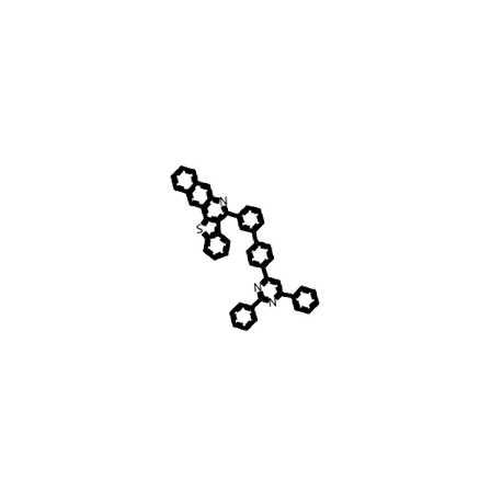 c1ccc(-c2cc(-c3ccc(-c4cccc(-c5nc6cc7ccccc7cc6c6sc7ccccc7c56)c4)cc3)nc(-c3ccccc3)n2)cc1